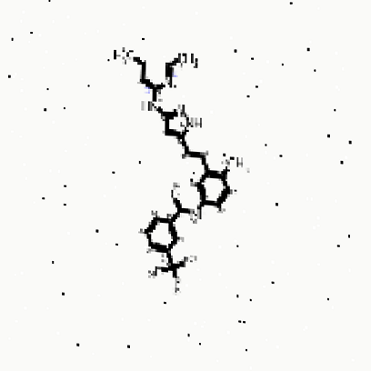 C/C=N/C(=C\CC)Nc1cc(CCc2cc(NC(=O)c3cccc(C(F)(F)F)c3)ccc2C)[nH]n1